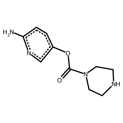 Nc1ccc(OC(=O)N2CCNCC2)cn1